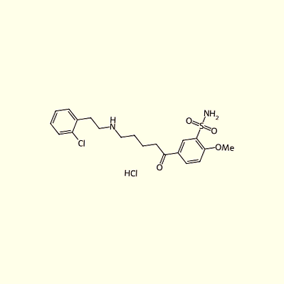 COc1ccc(C(=O)CCCCNCCc2ccccc2Cl)cc1S(N)(=O)=O.Cl